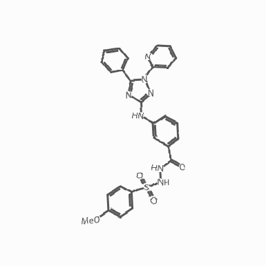 COc1ccc(S(=O)(=O)NNC(=O)c2cccc(Nc3nc(-c4ccccc4)n(-c4ccccn4)n3)c2)cc1